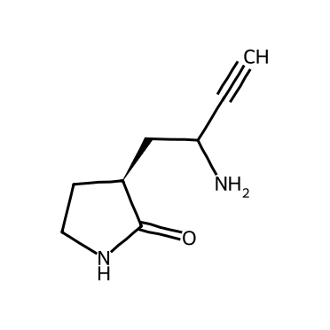 C#CC(N)C[C@@H]1CCNC1=O